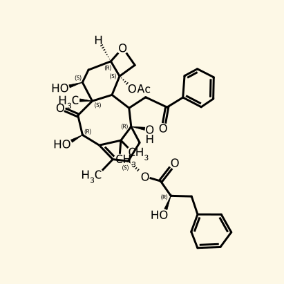 CC(=O)O[C@@]12CO[C@@H]1C[C@H](O)[C@@]1(C)C(=O)[C@H](O)C3=C(C)[C@@H](OC(=O)[C@H](O)Cc4ccccc4)C[C@@](O)(C(CC(=O)c4ccccc4)C12)C3(C)C